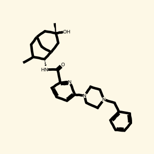 CC1CC2CC(C[C@@](C)(O)C2)[C@@H]1NC(=O)c1cccc(N2CCN(Cc3ccccc3)CC2)n1